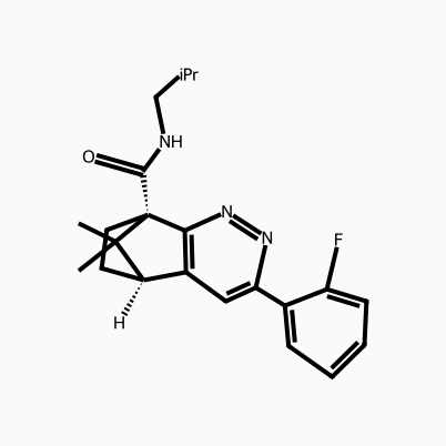 CC(C)CNC(=O)[C@]12CC[C@H](c3cc(-c4ccccc4F)nnc31)C2(C)C